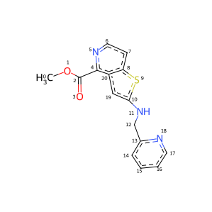 COC(=O)c1nccc2sc(NCc3ccccn3)cc12